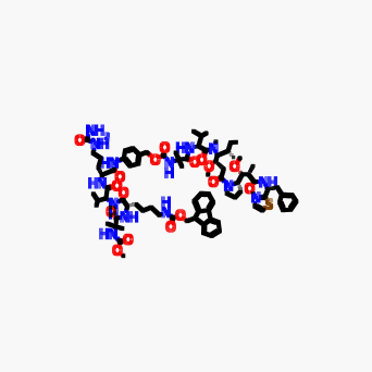 CC[C@H](C)[C@@H]([C@@H](CC(=O)N1CCC[C@H]1[C@H](OC)[C@@H](C)C(=O)N[C@@H](Cc1ccccc1)c1nccs1)OC)N(C)C(=O)[C@@H](NC(=O)C(C)(C)NC(=O)OCc1ccc(NC(=O)[C@H](CCCNC(N)=O)NC(=O)[C@@H](NC(=O)[C@H](CCCCNC(=O)OCC2c3ccccc3-c3ccccc32)NC(=O)C(C)(C)NC(=O)OC)C(C)C)cc1)C(C)C